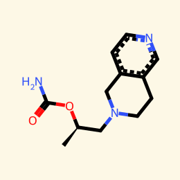 C[C@H](CN1CCc2cnccc2C1)OC(N)=O